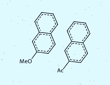 CC(=O)c1ccc2ccccc2c1.COc1ccc2ccccc2c1